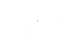 O=C(Nc1ccncc1)c1nccc(C(F)(F)F)c1-n1ccnc1